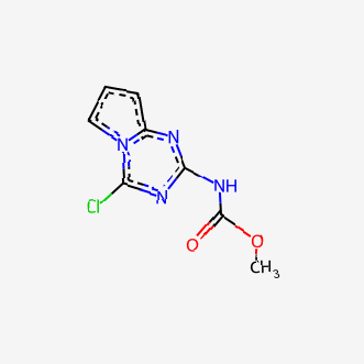 COC(=O)Nc1nc(Cl)n2cccc2n1